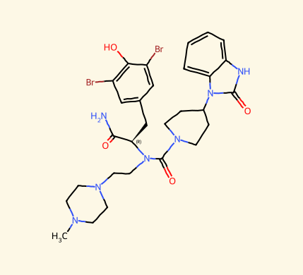 CN1CCN(CCN(C(=O)N2CCC(n3c(=O)[nH]c4ccccc43)CC2)[C@H](Cc2cc(Br)c(O)c(Br)c2)C(N)=O)CC1